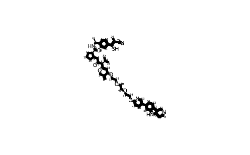 C=C1COC([C@@H](C(=O)CC2CCC[C@H]2C(=O)N[C@@H](C)c2ccc(/C(S)=C(\C)C#N)cc2)C(C)C)=CC1OCCOCCOCCOc1ccc(-c2ccc3c(c2)[nH]c2ccncc23)cn1